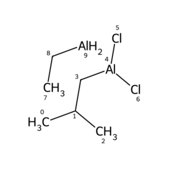 CC(C)[CH2][Al]([Cl])[Cl].C[CH2][AlH2]